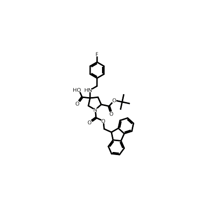 CC(C)(C)OC(=O)C1CC(NCc2ccc(F)cc2)(C(=O)O)CN1C(=O)OCC1c2ccccc2-c2ccccc21